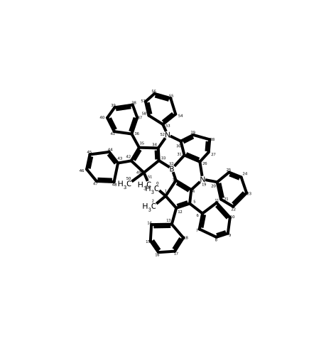 CC1(C)C2=C(C(c3ccccc3)=C1c1ccccc1)N(c1ccccc1)c1cccc3c1B2C1=C(C(c2ccccc2)=C(c2ccccc2)C1(C)C)N3c1ccccc1